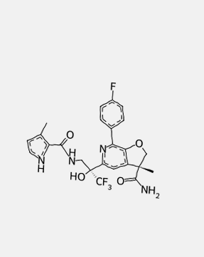 Cc1cc[nH]c1C(=O)NC[C@](O)(c1cc2c(c(-c3ccc(F)cc3)n1)OC[C@]2(C)C(N)=O)C(F)(F)F